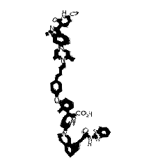 Cc1c(OC2CCC(CCCCN3C(C)CN(c4ccc5c(C6CCC(=O)NC6=O)nn(C)c5c4)CC3C)CC2)cccc1-c1ccc(N2CCc3cccc(C(=O)Nc4nc5ccccc5s4)c3C2)nc1C(=O)O